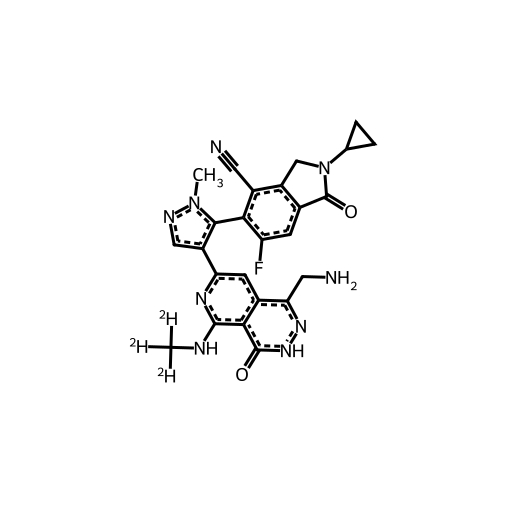 [2H]C([2H])([2H])Nc1nc(-c2cnn(C)c2-c2c(F)cc3c(c2C#N)CN(C2CC2)C3=O)cc2c(CN)n[nH]c(=O)c12